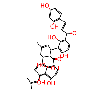 CC(C)=CCc1c(O)ccc(C(=O)C2C(c3c(O)ccc(C(=O)/C=C/c4ccc(O)cc4O)c3O)C=C(C)CC2c2ccc(O)cc2O)c1O